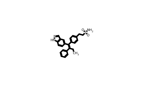 CC/C(=C(\c1ccc(CCS(N)(=O)=O)cc1)c1ccc2[nH]ncc2c1)c1ccccc1